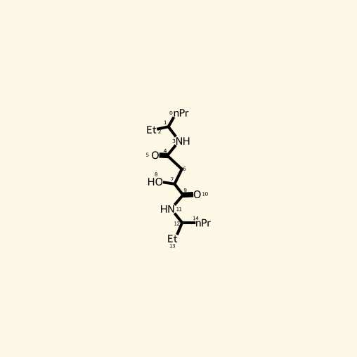 CCCC(CC)NC(=O)CC(O)C(=O)NC(CC)CCC